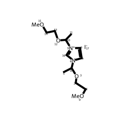 COCCOC(C)n1cc[n+](C(C)OCCOC)c1.[I-]